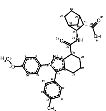 COc1ccc(-n2nc3c(c2-c2ccc(C)cc2)CCCC3C(=O)N[C@H]2C3CCC(C3)[C@@H]2C(=O)O)cc1